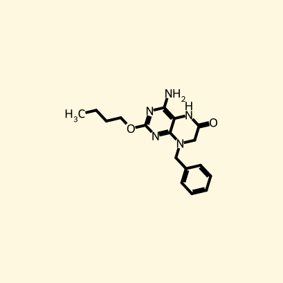 CCCCOc1nc(N)c2c(n1)N(Cc1ccccc1)CC(=O)N2